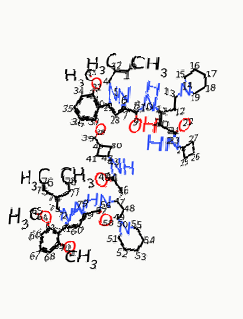 CCC(C)Cn1nc(C(O)N[C@@H](CCN2CCCCC2)CC(=O)NC2CCC2)cc1-c1c(OC)cccc1OCC1CC(NC(=O)C[C@H](CCN2CCCCC2)NC(=O)c2cc(-c3c(OC)cccc3OC)n(CC(CC)CC)n2)C1